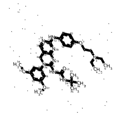 CCN(CC)CCOc1ccc(Nc2ncc3c(n2)N=C(NC(=O)NC(C)(C)C)N(c2cc(OC)cc(OC)c2)C3)cc1